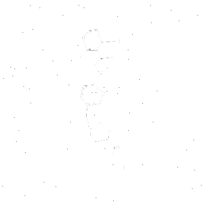 COC(=O)C1CCN(Cc2ccc(N3CC(F)(c4c(Cl)cccc4Cl)C3)cc2)CC1